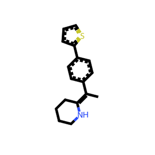 CC(=C1CCCCN1)c1ccc(-c2cccs2)cc1